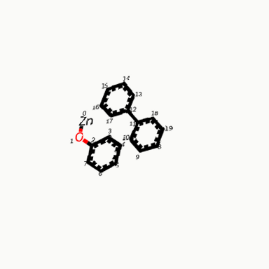 [Zn][O]c1ccccc1.c1ccc(-c2ccccc2)cc1